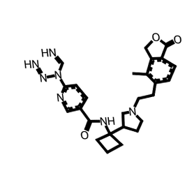 Cc1c(CCN2CCC(C3(NC(=O)c4ccc(N(C=N)N=N)nc4)CCC3)C2)ccc2c1COC2=O